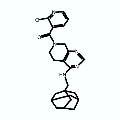 O=C(c1cccnc1Cl)N1CCc2c(ncnc2NCC23CC4CC(CC(C4)C2)C3)C1